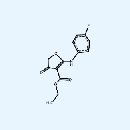 CCOC(=O)C1=C(Nc2ccc(F)cc2)OCC1=O